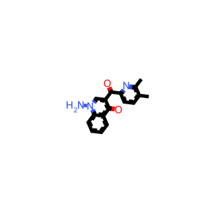 Cc1ccc(C(=O)c2cn(N)c3ccccc3c2=O)nc1C